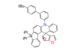 CC(C)[Si]1(C(C)C)c2ccccc2-c2c1ccc1c2C2(c3ccccc3N1c1cccc(-c3ccc(C(C)(C)C)cc3)c1)c1ccoc1-c1occc12